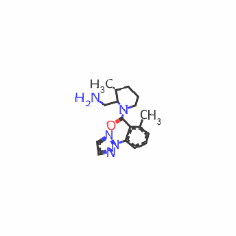 Cc1cccc(-n2nccn2)c1C(=O)N1CCC[C@@H](C)C1CN